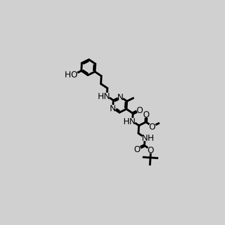 COC(=O)C(CNC(=O)OC(C)(C)C)NC(=O)c1cnc(NCCCc2cccc(O)c2)nc1C